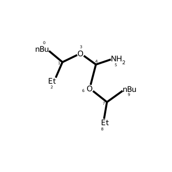 CCCCC(CC)OC(N)OC(CC)CCCC